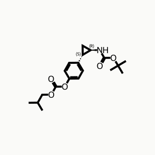 CC(C)COC(=O)Oc1ccc([C@@H]2C[C@H]2NC(=O)OC(C)(C)C)cc1